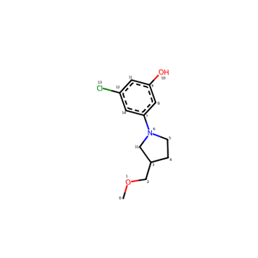 COCC1CCN(c2cc(O)cc(Cl)c2)C1